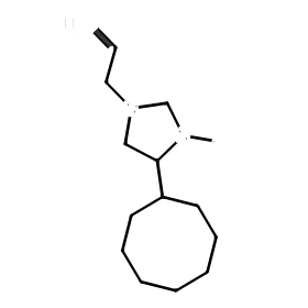 C=CCN1CC(C2CCCCCCC2)N(C)C1